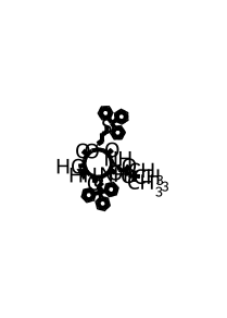 CC(C)(C)OC(=O)CC[C@H]1NC(=O)C[C@@H](C=CCCSC(c2ccccc2)(c2ccccc2)c2ccccc2)OC(=O)CC(O)C2(CC2)NC(=O)[C@@H](CSC(c2ccccc2)(c2ccccc2)c2ccccc2)NC1=O